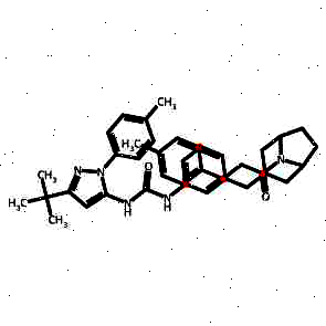 Cc1ccc(CCC(=O)N2C3CCC2CC(Cc2cccc(NC(=O)Nc4cc(C(C)(C)C)nn4-c4ccc(C)cc4)c2)C3)cc1